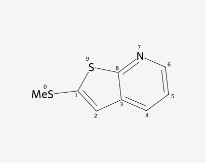 CSc1cc2cccnc2s1